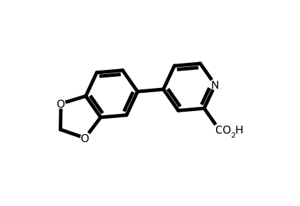 O=C(O)c1cc(-c2ccc3c(c2)OCO3)ccn1